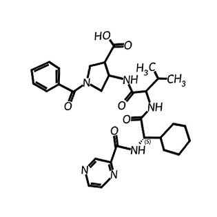 CC(C)C(NC(=O)[C@@H](NC(=O)c1cnccn1)C1CCCCC1)C(=O)NC1CN(C(=O)c2ccccc2)CC1C(=O)O